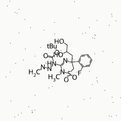 C=NNN(C(=O)OC(C)(C)C)C1=NC(CC(O)CO)(c2ccccc2F)CS(=O)(=O)N1C